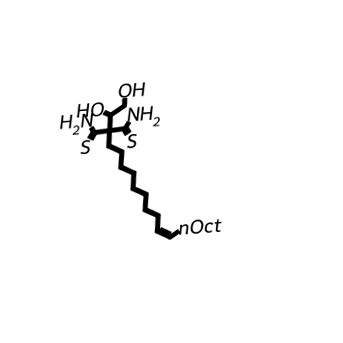 CCCCCCCC/C=C\CCCCCCCCC(C(N)=S)(C(N)=S)C(O)CO